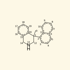 CC1(c2cccc3ccccc23)CNCc2ccccc21